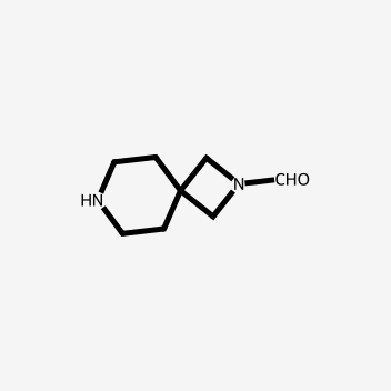 O=CN1CC2(CCNCC2)C1